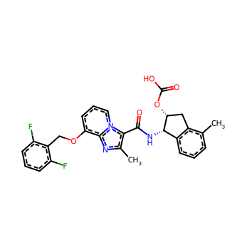 Cc1cccc2c1C[C@@H](OC(=O)O)[C@H]2NC(=O)c1c(C)nc2c(OCc3c(F)cccc3F)cccn12